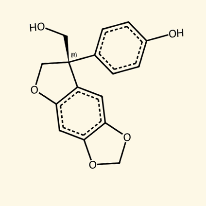 OC[C@]1(c2ccc(O)cc2)COc2cc3c(cc21)OCO3